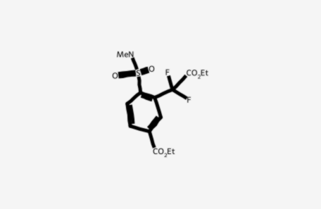 CCOC(=O)c1ccc(S(=O)(=O)NC)c(C(F)(F)C(=O)OCC)c1